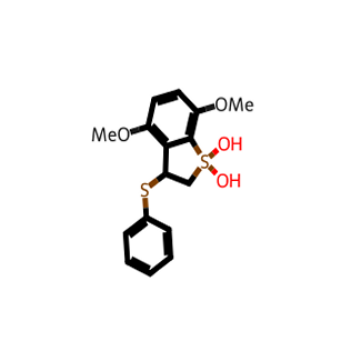 COc1ccc(OC)c2c1C(Sc1ccccc1)CS2(O)O